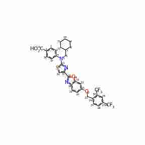 O=C(O)c1ccc(N(CC2CCCCC2)c2nc(-c3nc4ccc(OCc5ccc(C(F)(F)F)cc5C(F)(F)F)cc4o3)cs2)cc1